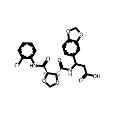 O=C(O)CC(NC(=O)[C@@H]1OCO[C@H]1C(=O)Nc1ccccc1Cl)c1ccc2c(c1)OCO2